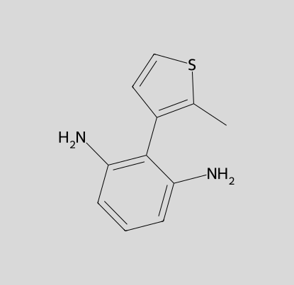 Cc1sccc1-c1c(N)cccc1N